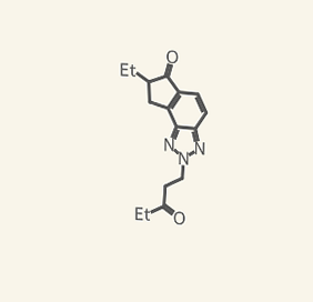 CCC(=O)CCn1nc2ccc3c(c2n1)CC(CC)C3=O